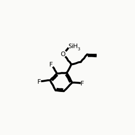 C=CCC(O[SiH3])c1c(F)ccc(F)c1F